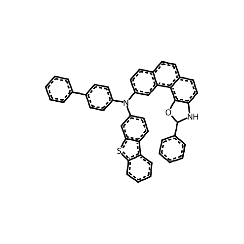 c1ccc(-c2ccc(N(c3ccc4c(c3)sc3ccccc34)c3ccc4ccc5ccc6c(c5c4c3)OC(c3ccccc3)N6)cc2)cc1